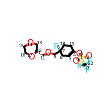 O=S(=O)(OC1=CCC(F)(COC[C@H]2COCCO2)CC1)C(F)(F)F